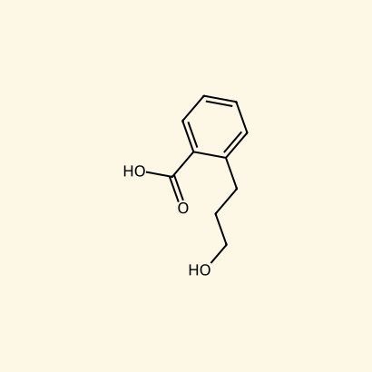 O=C(O)c1ccccc1CCCO